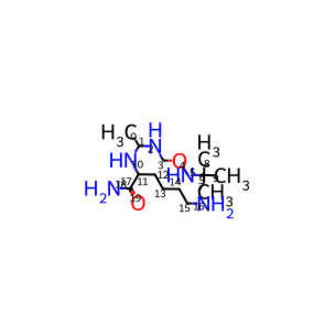 CC(NCONC(C)(C)C)NC(CCCCN)C(N)=O